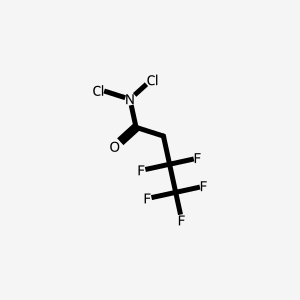 O=C(CC(F)(F)C(F)(F)F)N(Cl)Cl